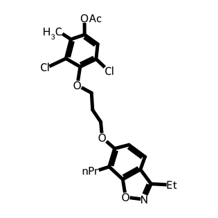 CCCc1c(OCCCOc2c(Cl)cc(OC(C)=O)c(C)c2Cl)ccc2c(CC)noc12